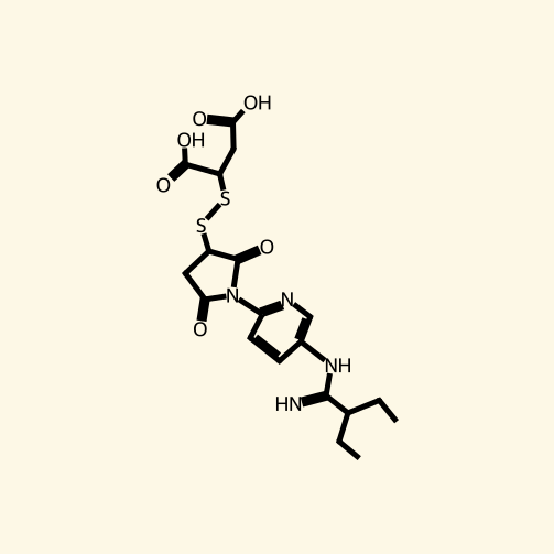 CCC(CC)C(=N)Nc1ccc(N2C(=O)CC(SSC(CC(=O)O)C(=O)O)C2=O)nc1